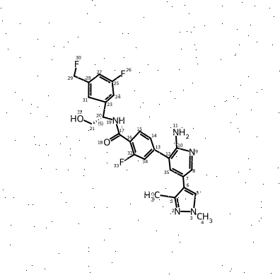 Cc1nn(C)cc1-c1cnc(N)c(-c2ccc(C(=O)N[C@H](CO)c3cc(F)cc(CF)c3)c(F)c2)c1